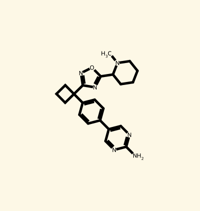 CN1CCCCC1c1nc(C2(c3ccc(-c4cnc(N)nc4)cc3)CCC2)no1